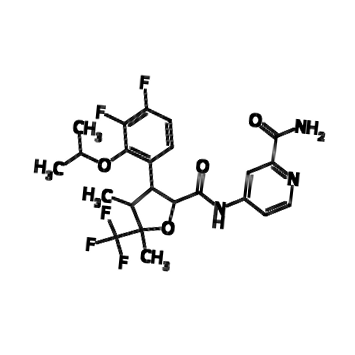 CC(C)Oc1c(C2C(C(=O)Nc3ccnc(C(N)=O)c3)OC(C)(C(F)(F)F)C2C)ccc(F)c1F